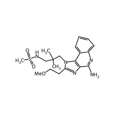 COCCc1nc2c(N)nc3ccccc3c2n1CC(C)(C)CNS(C)(=O)=O